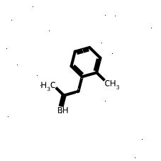 B=C(C)Cc1ccccc1C